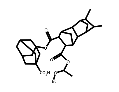 CCOC(C)OC(=O)C1C2CC(C1C(=O)OC13CC4CC(C1)CC(C(=O)O)(C4)C3)C1C3CC(C(C)C3C)C21